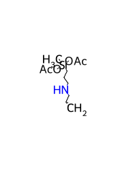 C=CCNCCC[Si](C)(OC(C)=O)OC(C)=O